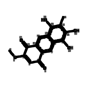 COC1=CC(=O)c2cc3c(O)c(O)c(C)c(O)c3cc2C1=O